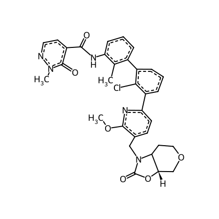 COc1nc(-c2cccc(-c3cccc(NC(=O)c4ccnn(C)c4=O)c3C)c2Cl)ccc1CN1C(=O)O[C@H]2COCCC21